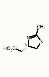 CC1=N[C@@H](CC(=O)O)CS1